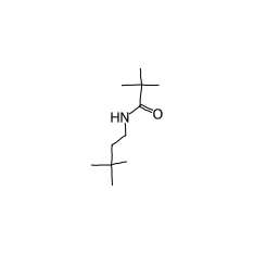 CC(C)(C)CCNC(=O)C(C)(C)C